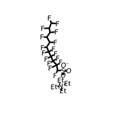 CC[N+](CC)(CC)CC.O=S(=O)([O-])C(F)C(F)(F)C(F)(F)C(F)(F)C(F)(F)C(F)C(F)C(F)C(F)C(F)C(F)F